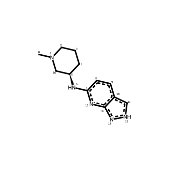 CN1CCC[C@@H](Nc2ccc3c[nH]nc3n2)C1